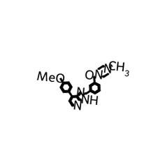 COc1ccc(-c2ccnc3[nH]c(-c4cccc(C(=O)N5CCN(C)CC5)c4)nc23)cc1